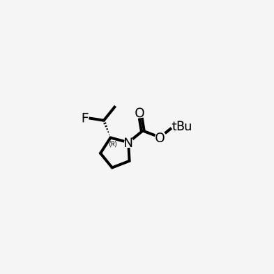 CC(F)[C@H]1CCCN1C(=O)OC(C)(C)C